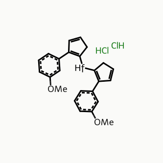 COc1cccc(C2=[C]([Hf][C]3=C(c4cccc(OC)c4)C=CC3)CC=C2)c1.Cl.Cl